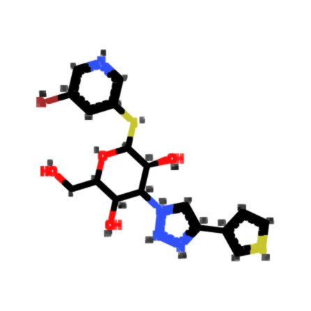 OCC1OC(Sc2cncc(Br)c2)[C@@H](O)C(n2cc(-c3ccsc3)nn2)C1O